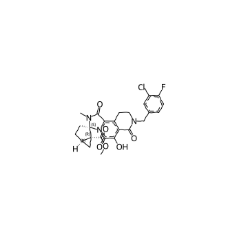 COC(=O)[C@]12C[C@H]1CC[C@@]21N(C)C(=O)c2c3c(c(O)c(=O)n21)C(=O)N(Cc1ccc(F)c(Cl)c1)CC3